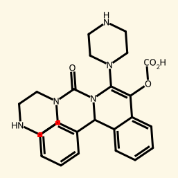 O=C(O)OC1=C(N2CCNCC2)N(C(=O)N2CCNCC2)C(c2ccccc2)c2ccccc21